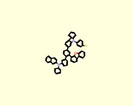 Fc1ccc(-n2c3ccccc3c3ccc(-c4ccc(-c5cccc(N(c6ccccc6)c6ccc7ccccc7c6)c5)c(-c5cccc6c5oc5ccccc56)c4)cc32)cc1